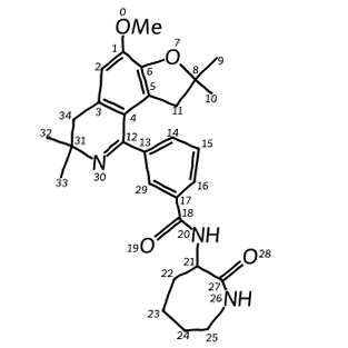 COc1cc2c(c3c1OC(C)(C)C3)C(c1cccc(C(=O)NC3CCCCNC3=O)c1)=NC(C)(C)C2